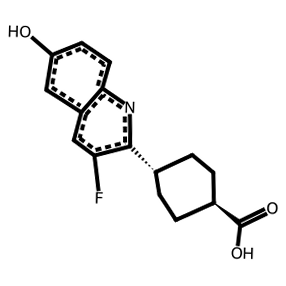 O=C(O)[C@H]1CC[C@H](c2nc3ccc(O)cc3cc2F)CC1